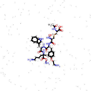 CC(=O)N[C@@H](CSC[C@H](NO)C(=O)N[C@@H](Cc1ccc(OCCN)cc1)C(=O)N[C@@H](Cc1c[nH]c2ccccc12)C(=O)NC(C)(CCCCN)C(=O)ON)C(=O)O